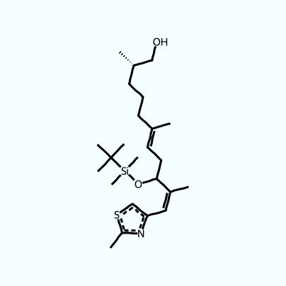 C/C(=C/c1csc(C)n1)C(C/C=C(\C)CCC[C@H](C)CO)O[Si](C)(C)C(C)(C)C